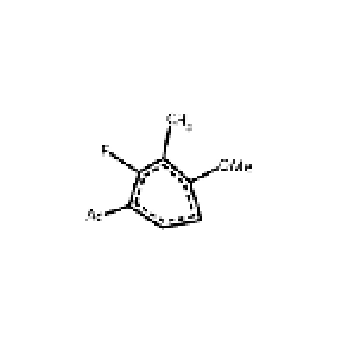 COc1ccc(C(C)=O)c(F)c1C